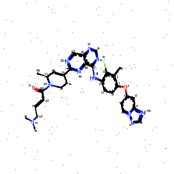 Cc1c(Oc2ccn3ncnc3c2)ccc(Nc2ncnc3cnc(C4=C[C@H](C)N(C(=O)/C=C/CN(C)C)CC4)nc23)c1F